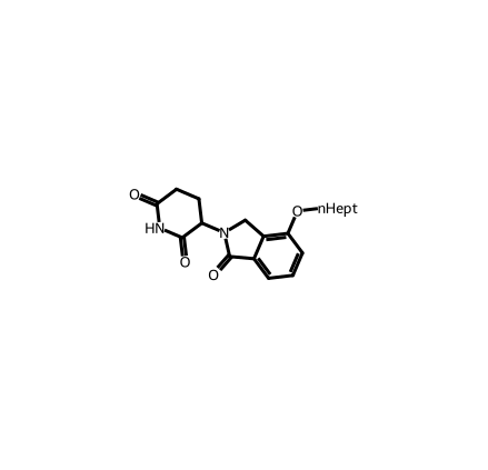 CCCCCCCOc1cccc2c1CN(C1CCC(=O)NC1=O)C2=O